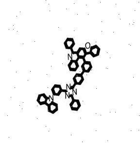 c1ccc(-c2nc(-c3ccc(-c4cccc(-c5c6c(cc7c(-c8ccccc8)nc8ccccc8c57)oc5ccccc56)c4)cc3)nc(-c3cccc(-n4c5ccccc5c5ccccc54)c3)n2)cc1